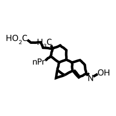 CCCC1C2C(CCC1(C)CCCC(=O)O)C1CC/C(=N\O)C=C1C1CC12